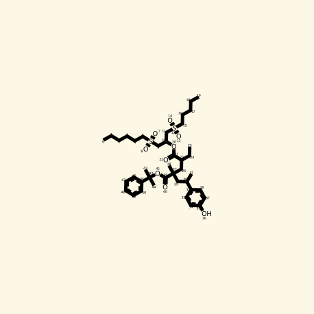 CCCCCCS(=O)(=O)CC(CS(=O)(=O)CCCCC)OC(=O)C(CC)CC(C)(CC(C)c1ccc(O)cc1)C(=O)OC(C)(C)c1ccccc1